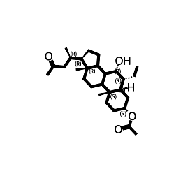 CC[C@H]1[C@@H](O)C2C3CC[C@H]([C@H](C)CC(C)=O)[C@@]3(C)CCC2[C@@]2(C)CC[C@@H](OC(C)=O)C[C@@H]12